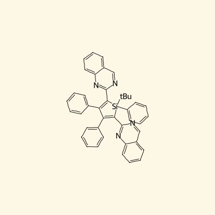 CC(C)(C)[Si]1(c2ccccc2)C(c2ncc3ccccc3n2)=C(c2ccccc2)C(c2ccccc2)=C1c1ncc2ccccc2n1